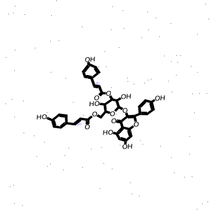 O=C(/C=C/c1ccc(O)cc1)OCC1OC(Oc2c(-c3ccc(O)cc3)oc3cc(O)cc(O)c3c2=O)C(O)C(OC(=O)/C=C/c2ccc(O)cc2)C1O